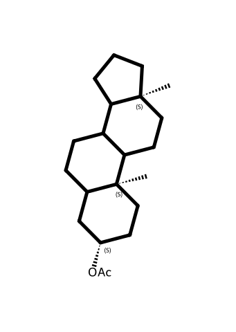 CC(=O)O[C@H]1CC[C@@]2(C)C(CCC3C4CCC[C@@]4(C)CCC32)C1